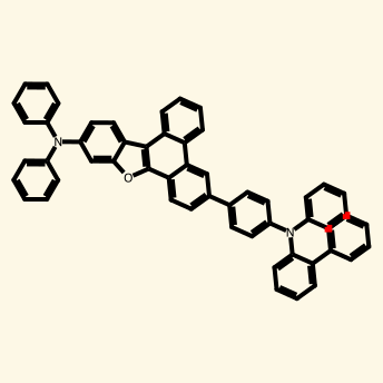 c1ccc(-c2ccccc2N(c2ccccc2)c2ccc(-c3ccc4c(c3)c3ccccc3c3c5ccc(N(c6ccccc6)c6ccccc6)cc5oc43)cc2)cc1